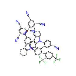 N#Cc1cc(C#N)c(-c2ccc3c(c2)c2ccccc2n3-c2ccc(-c3ccc(C(F)(F)F)cc3C(F)(F)F)c(-c3cc(C#N)ccc3-n3c4ccccc4c4cc(-c5c(C#N)cc(C#N)cc5C#N)ccc43)c2)c(C#N)c1